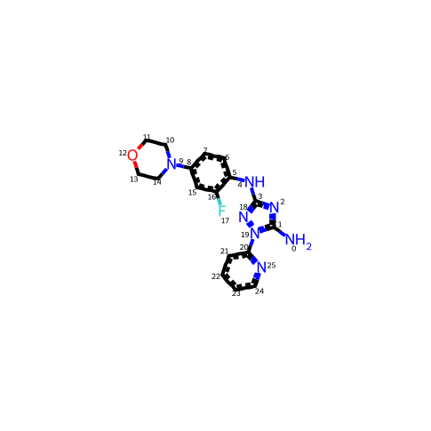 Nc1nc(Nc2ccc(N3CCOCC3)cc2F)nn1-c1ccccn1